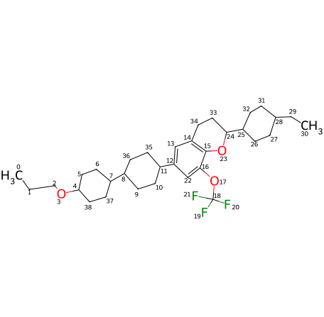 CCCOC1CCC(C2CCC(c3cc4c(c(OC(F)(F)F)c3)OC(C3CCC(CC)CC3)CC4)CC2)CC1